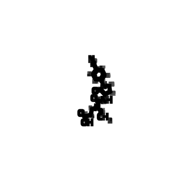 C=CN(CCC(=O)O)C(=O)N[C@H]1CCN(c2ccc(C#N)cc2)C1=O